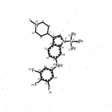 CC(C)[Si](C(C)C)(C(C)C)n1cc(C2CCN(C)CC2)c2ccc(Nc3cc(F)c(F)c(F)c3)cc21